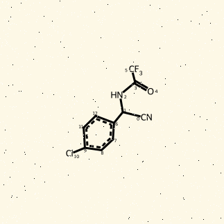 N#CC(NC(=O)C(F)(F)F)c1ccc(Cl)cc1